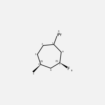 CC(C)C1CC[C@H](C)C[C@H](F)C1